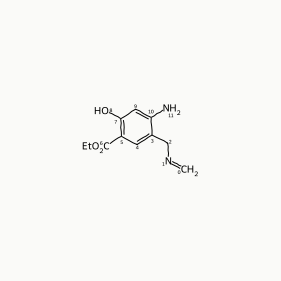 C=NCc1cc(C(=O)OCC)c(O)cc1N